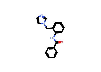 O=C(Nc1ccccc1Cn1ccnc1)c1ccccc1